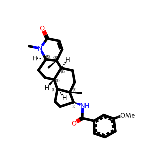 COc1cccc(C(=O)N[C@H]2CC[C@H]3[C@@H]4CC[C@H]5N(C)C(=O)C=C[C@]5(C)[C@H]4CC[C@]23C)c1